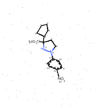 CCOC(=O)C1(C2CCCC2)CCN(c2ccc([N+](=O)[O-])cc2)N1